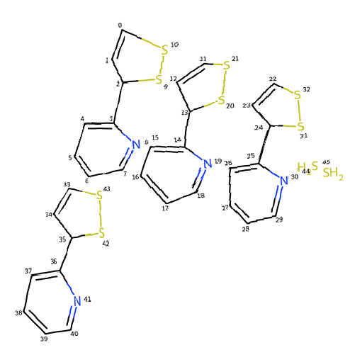 C1=CC(c2ccccn2)SS1.C1=CC(c2ccccn2)SS1.C1=CC(c2ccccn2)SS1.C1=CC(c2ccccn2)SS1.S.S